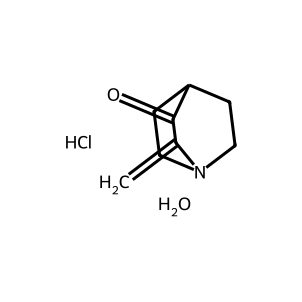 C=C1C(=O)C2CCN1CC2.Cl.O